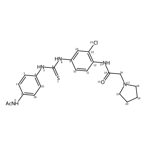 CC(=O)Nc1ccc(NC(=S)Nc2ccc(NC(=O)CN3CCCC3)c(Cl)c2)cc1